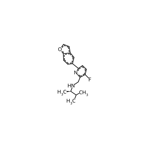 CC(C)[C@@H](C)NCc1nc(-c2ccc3occc3c2)ccc1F